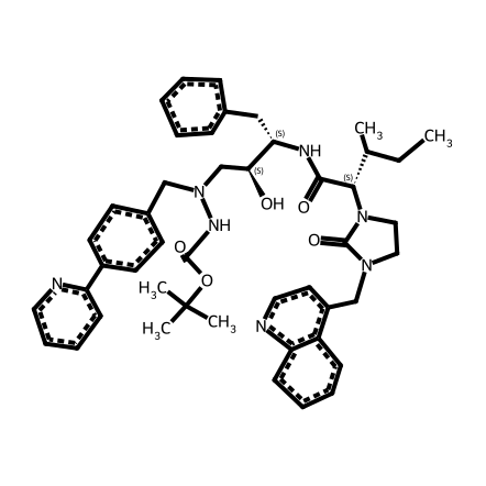 CCC(C)[C@@H](C(=O)N[C@@H](Cc1ccccc1)[C@@H](O)CN(Cc1ccc(-c2ccccn2)cc1)NC(=O)OC(C)(C)C)N1CCN(Cc2ccnc3ccccc23)C1=O